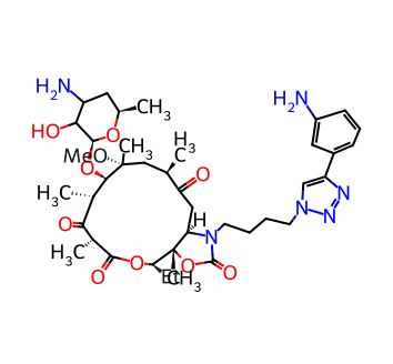 CC[C@H]1OC(=O)[C@H](C)C(=O)[C@H](C)[C@@H](O[C@@H]2O[C@H](C)CC(N)C2O)[C@](C)(OC)C[C@@H](C)C(=O)C[C@H]2N(CCCCn3cc(-c4cccc(N)c4)nn3)C(=O)O[C@]12C